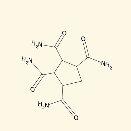 NC(=O)C1CC(C(N)=O)C(C(N)=O)C1C(N)=O